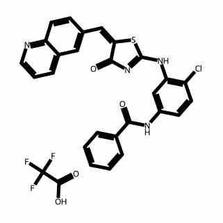 O=C(O)C(F)(F)F.O=C1N=C(Nc2cc(NC(=O)c3ccccc3)ccc2Cl)SC1=Cc1ccc2ncccc2c1